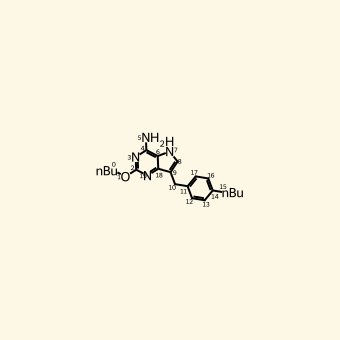 CCCCOc1nc(N)c2[nH]cc(Cc3ccc(CCCC)cc3)c2n1